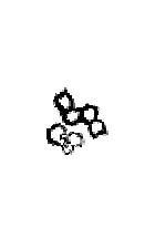 O=S1(=O)C=CC=CC1.c1ccc2c(c1)ccc1c3c(ccc12)CCCC3